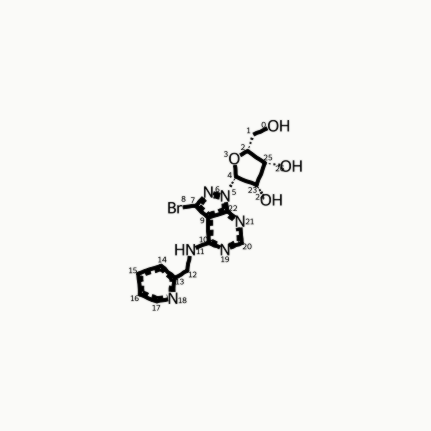 OC[C@H]1O[C@@H](n2nc(Br)c3c(NCc4ccccn4)ncnc32)[C@@H](O)[C@H]1O